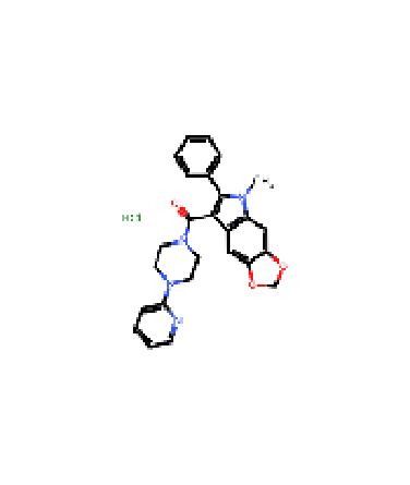 Cl.Cn1c(-c2ccccc2)c(C(=O)N2CCN(c3ccccn3)CC2)c2cc3c(cc21)OCO3